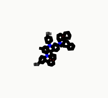 Cc1cc2c3c(c1)N(c1ccc(C(C)(C)C)cc1-c1ccccc1)c1ccccc1B3c1ccc(N3c4ccccc4C4(c5ccccc5)Cc5ccccc5CC34C)cc1N2c1ccc(C(C)(C)C)cc1